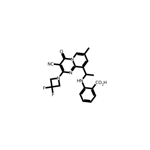 Cc1cc(C(C)Nc2ccccc2C(=O)O)c2nc(N3CC(F)(F)C3)c(C#N)c(=O)n2c1